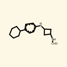 O=CNC1CC(Nc2ccc(C3CCCCC3)cc2)C1